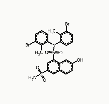 Cc1c(Br)cccc1N(c1cccc(Br)c1C)S(=O)(=O)c1cc(S(N)(=O)=O)cc2ccc(O)cc12